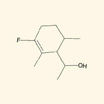 CC1=C(F)CCC(C)C1C(C)O